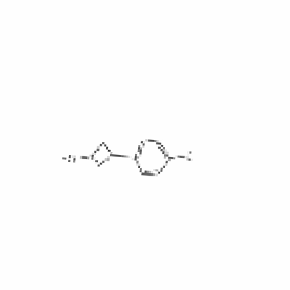 OC1CC(c2ccc(Cl)cc2)C1